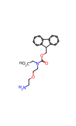 NCCOCCN(CC(=O)O)C(=O)OCC1c2ccccc2-c2ccccc21